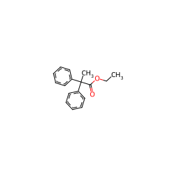 CCOC(=O)C(C)(c1ccccc1)c1ccccc1